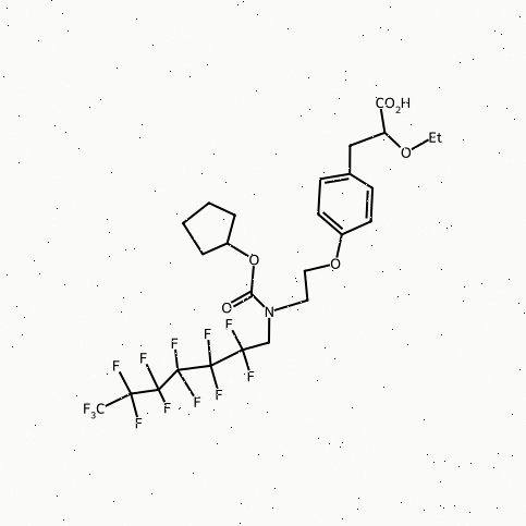 CCOC(Cc1ccc(OCCN(CC(F)(F)C(F)(F)C(F)(F)C(F)(F)C(F)(F)C(F)(F)F)C(=O)OC2CCCC2)cc1)C(=O)O